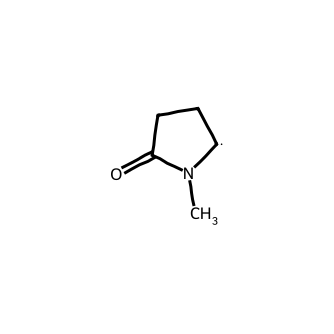 CN1[CH]CCC1=O